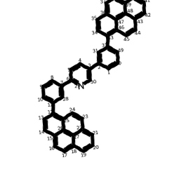 c1cc(-c2ccc(-c3cccc(-c4ccc5ccc6cccc7ccc4c5c67)c3)nc2)cc(-c2ccc3ccc4cccc5ccc2c3c45)c1